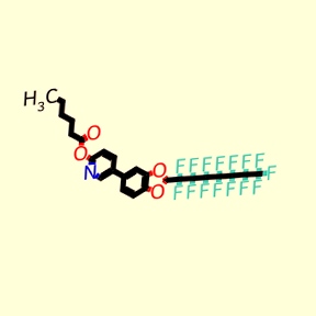 CCCCCC(=O)Oc1ccc(-c2ccc3c(c2)OC(C(F)(F)C(F)(F)C(F)(F)C(F)(F)C(F)(F)C(F)(F)C(F)(F)F)O3)cn1